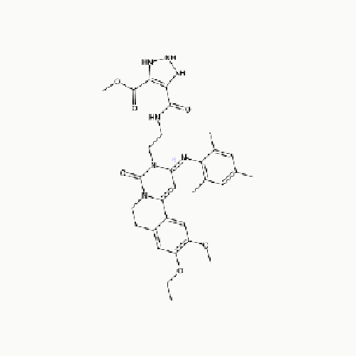 CCOc1cc2c(cc1OC)-c1c/c(=N\c3c(C)cc(C)cc3C)n(CCNC(=O)C3=C(C(=O)OC)NNN3)c(=O)n1CC2